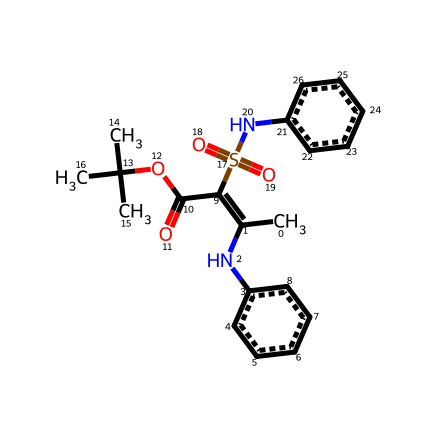 C/C(Nc1ccccc1)=C(/C(=O)OC(C)(C)C)S(=O)(=O)Nc1ccccc1